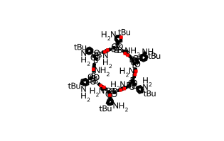 CC(C)(C)c1ccc(B2OB3OB(O2)c2ccc(cc2N)B2OB(c4ccc(C(C)(C)C)c(N)c4)OB(O2)c2ccc(cc2N)B2OB(c4ccc(C(C)(C)C)c(N)c4)OB(O2)c2ccc(cc2N)B2OB(c4ccc(C(C)(C)C)c(N)c4)OB(O2)c2ccc(cc2N)B2OB(c4ccc(C(C)(C)C)c(N)c4)OB(O2)c2ccc(cc2N)B2OB(c4ccc(C(C)(C)C)c(N)c4)OB(O2)c2ccc3cc2N)cc1N